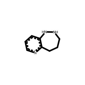 c1cnc2c(c1)NNCCC2